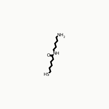 NCCCCCNC(=O)CCCCCS